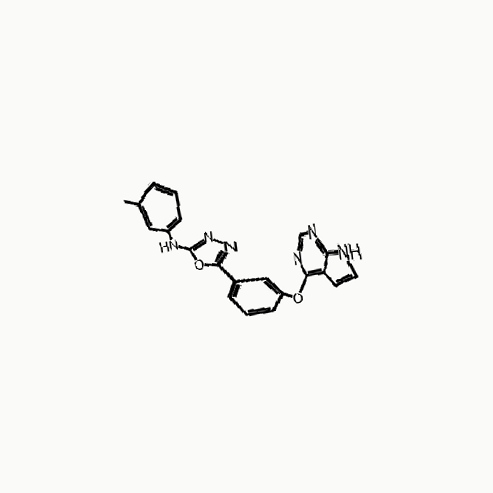 Cc1cccc(Nc2nnc(-c3cccc(Oc4ncnc5[nH]ccc45)c3)o2)c1